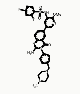 COc1ncc(-c2ccc3nc(N)n(-c4ccc(CN5CCN(C)CC5)cc4)c(=O)c3c2)cc1NS(=O)(=O)c1ccc(F)cc1F